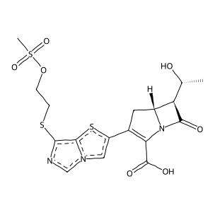 C[C@@H](O)[C@H]1C(=O)N2C(C(=O)O)=C(c3cn4cnc(SCCOS(C)(=O)=O)c4s3)C[C@H]12